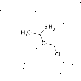 CC([SiH3])OCCl